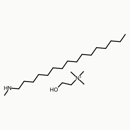 CCCCCCCCCCCCCCCCNC.C[N+](C)(C)CCO